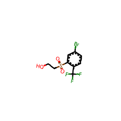 O=S(=O)(CCO)c1cc(Br)ccc1C(F)(F)F